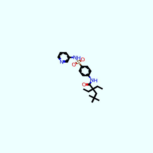 CCC(CC)(CC(C)(C)C)C(=O)Nc1ccc(S(=O)(=O)Nc2cccnc2)cc1